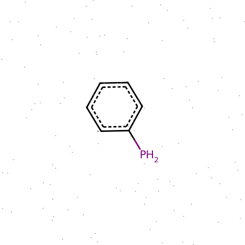 Pc1[c]cccc1